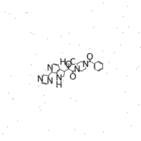 C[C@@H]1CN(C(=O)c2ccccc2)CCN1C(=O)C(=O)C1CNc2c1ccnc2-c1cnccn1